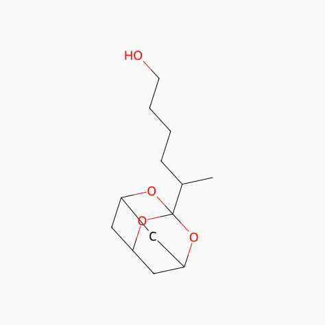 CC(CCCCO)C12OC3CC(CC(C3)O1)O2